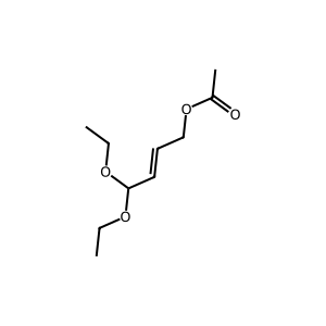 CCOC(C=CCOC(C)=O)OCC